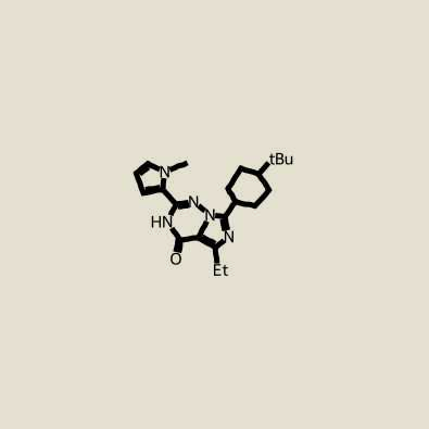 CCc1nc(C2CCC(C(C)(C)C)CC2)n2nc(-c3cccn3C)[nH]c(=O)c12